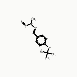 CCC(C)(P)Oc1ccc(/C=N/N(C)P=S)cc1